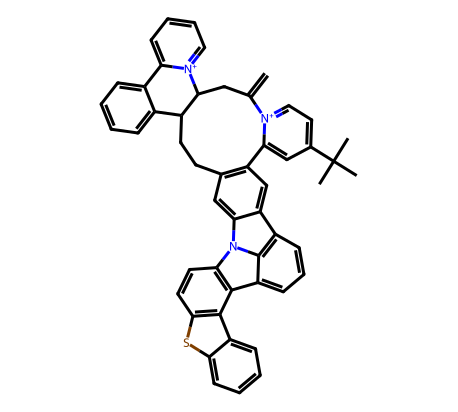 C=C1CC2C(CCc3cc4c(cc3-c3cc(C(C)(C)C)cc[n+]31)c1cccc3c5c6c(ccc5n4c13)sc1ccccc16)c1ccccc1-c1cccc[n+]12